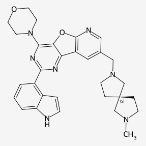 CN1CC[C@]2(CCN(Cc3cnc4oc5c(N6CCOCC6)nc(-c6cccc7[nH]ccc67)nc5c4c3)C2)C1